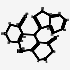 O=C1COCC2=C1C(c1csc3ccccc13)C1=C(COCC1=O)N2